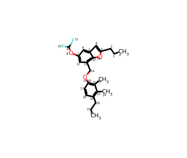 CCCc1cc2cc(OC(F)F)cc(COc3ccc(CCC)c(C)c3C)c2o1